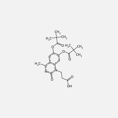 Cc1nc(=O)n(CCC(=O)O)c2cc(OC(=O)C(C)(C)C)c(OC(=O)C(C)(C)C)cc12